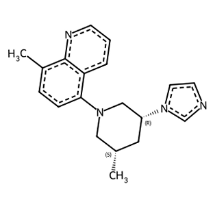 Cc1ccc(N2C[C@@H](C)C[C@@H](n3ccnc3)C2)c2cccnc12